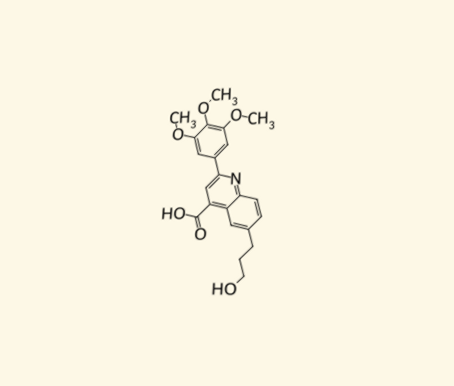 COc1cc(-c2cc(C(=O)O)c3cc(CCCO)ccc3n2)cc(OC)c1OC